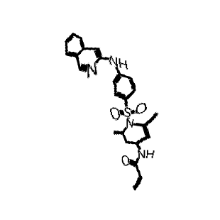 C=CC(=O)NC1CC(C)N(S(=O)(=O)c2ccc(Nc3cc4ccccc4cn3)cc2)C(C)C1